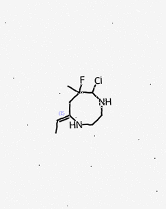 C/C=C1/CC(C)(F)C(Cl)NCCN1